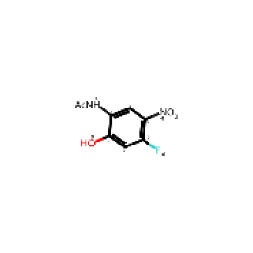 CC(=O)Nc1cc([N+](=O)[O-])c(F)cc1O